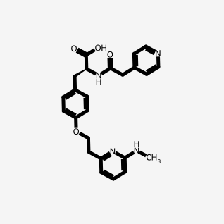 CNc1cccc(CCOc2ccc(C[C@H](NC(=O)Cc3ccncc3)C(=O)O)cc2)n1